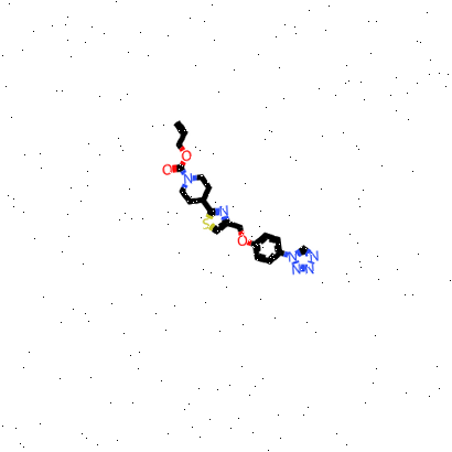 C=CCOC(=O)N1CCC(c2nc(COc3ccc(-n4cnnn4)cc3)cs2)CC1